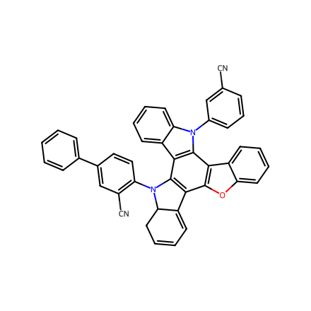 N#Cc1cccc(-n2c3ccccc3c3c4c(c5oc6ccccc6c5c32)C2=CC=CCC2N4c2ccc(-c3ccccc3)cc2C#N)c1